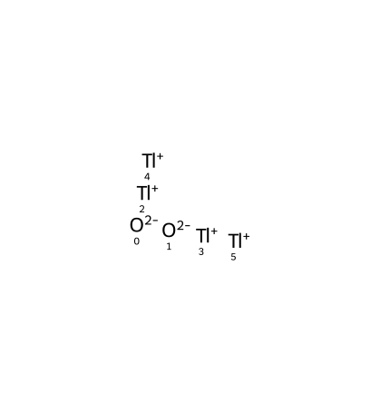 [O-2].[O-2].[Tl+].[Tl+].[Tl+].[Tl+]